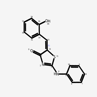 O=C1N=C(Nc2ccccc2)S/C1=C/c1ccccc1O